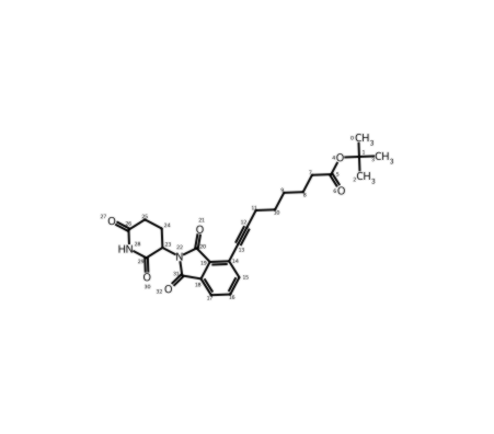 CC(C)(C)OC(=O)CCCCCC#Cc1cccc2c1C(=O)N(C1CCC(=O)NC1=O)C2=O